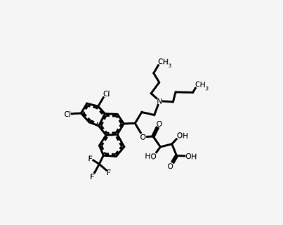 CCCCN(CCCC)CCC(OC(=O)C(O)C(O)C(=O)O)c1cc2c(Cl)cc(Cl)cc2c2cc(C(F)(F)F)ccc12